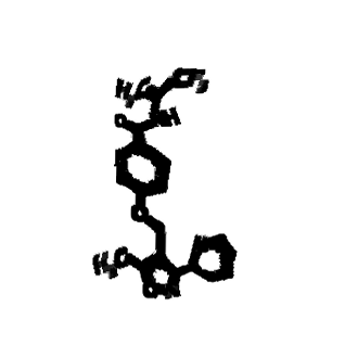 Cc1onc(-c2ccccn2)c1COc1ccc(C(=O)NC(C)C(F)(F)F)nc1